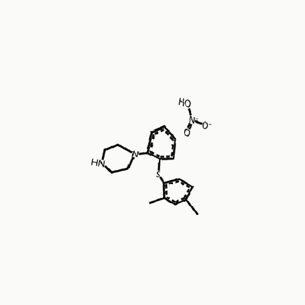 Cc1ccc(Sc2ccccc2N2CCNCC2)c(C)c1.O=[N+]([O-])O